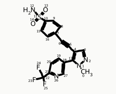 Cn1ncc(C#Cc2ccc(S(N)(=O)=O)cc2)c1-c1ccc(C(F)(F)F)nc1